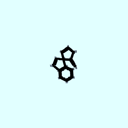 O=C1OC=CC12C=Nc1ccccc12